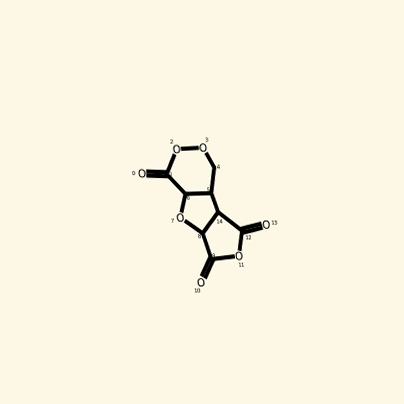 O=C1OOCC2C1OC1C(=O)OC(=O)C12